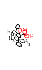 CC(c1ccccc1)c1cc(C(C)(C)c2ccccc2)cc(C(=O)O)c1O.[Zn]